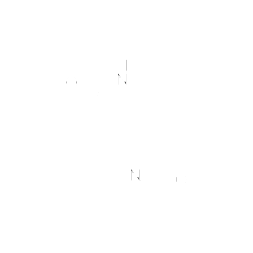 O=C1CC(c2cocn2)CN1